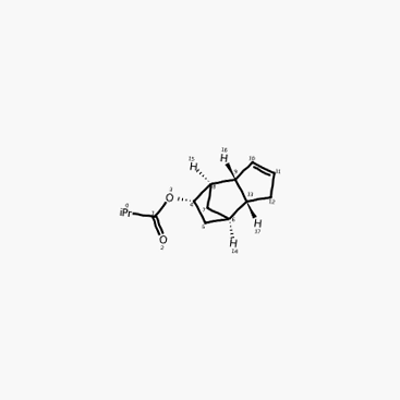 CC(C)C(=O)O[C@H]1C[C@H]2C[C@@H]1[C@@H]1C=CC[C@H]21